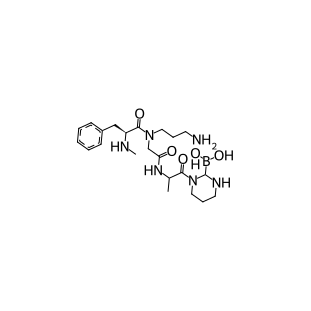 CN[C@@H](Cc1ccccc1)C(=O)N(CCCN)CC(=O)NC(C)C(=O)N1CCCNC1B(O)O